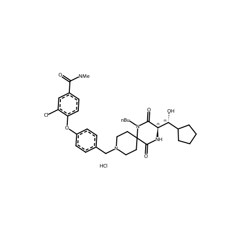 CCCCN1C(=O)[C@@H]([C@H](O)C2CCCC2)NC(=O)C12CCN(Cc1ccc(Oc3ccc(C(=O)NC)cc3Cl)cc1)CC2.Cl